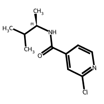 CC(C)[C@@H](C)NC(=O)c1ccnc(Cl)c1